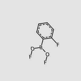 FOB(OF)c1ccccc1F